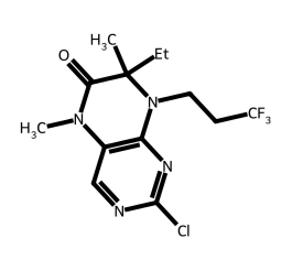 CCC1(C)C(=O)N(C)c2cnc(Cl)nc2N1CCC(F)(F)F